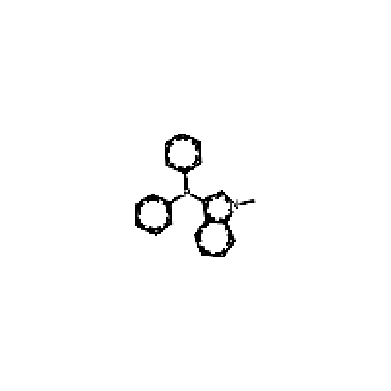 Cn1cc(P(c2ccccc2)c2ccccc2)c2ccccc21